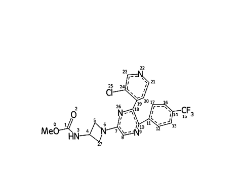 COC(=O)NC1CN(c2cnc(-c3ccc(C(F)(F)F)cc3)c(-c3ccncc3Cl)n2)C1